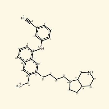 C#Cc1cccc(Nc2ncnc3cc(OC)c(OCCCN4CCC5CCNCC54)cc23)c1